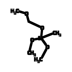 COCO[Si](C)(OC)OC